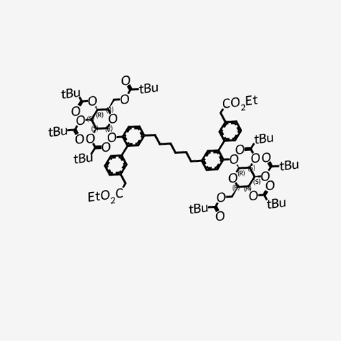 CCOC(=O)Cc1cccc(-c2cc(CCCCCCc3ccc(O[C@H]4O[C@H](COC(=O)C(C)(C)C)[C@@H](OC(=O)C(C)(C)C)[C@H](OC(=O)C(C)(C)C)[C@@H]4OC(=O)C(C)(C)C)c(-c4cccc(CC(=O)OCC)c4)c3)ccc2O[C@H]2O[C@H](COC(=O)C(C)(C)C)[C@@H](OC(=O)C(C)(C)C)[C@H](OC(=O)C(C)(C)C)[C@@H]2OC(=O)C(C)(C)C)c1